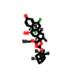 C[C@@H]1CC2C[C@@H](C[C@H]1OC(=O)O[C@]1(C(=O)OCC#N)[C@H](C)C[C@H]3[C@@H]4C[C@H](F)C5=CC(=O)C=C[C@]5(C)[C@@]4(F)[C@@H](O)C[C@@]31C)C2(C)C